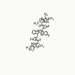 CC[C@H](NC(=O)[C@H](C)NC)C(=O)N1C[C@@H](F)C[C@H]1Cc1c(-c2nc3cc(F)ccc3n2C[C@@H]2C[C@H](F)CN2C(=O)C(NC(=O)[C@H](C)NC)C(C)C)[nH]c2ccccc12